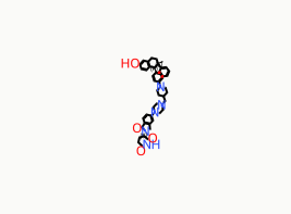 C[C@]1(c2ccccc2)CCc2cc(O)ccc2[C@@H]1c1ccc(N2CCC(CN3CCN(c4ccc5c(c4)CN([C@H]4CCC(=O)NC4=O)C5=O)CC3)CC2)cc1